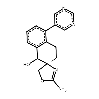 NC1=N[C@@]2(CCc3c(-c4cncnc4)cccc3C2O)CO1